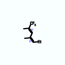 CC/C=C(C)\C=C(/C)C(F)(F)F